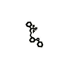 FC(F)(F)C(=CCCc1cccc(Oc2ccccc2)c1)c1ccccc1